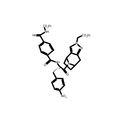 CCOC(=O)Cn1cc2c(n1)CC1CCC2N1C(=O)[C@H](Cc1ccc([N+](=O)[O-])cc1)NC(=O)c1ccc(C(=N)NC(=O)OCC)cc1